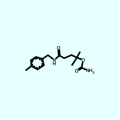 Cc1ccc(CNC(=O)CCC(C)(C)OC(N)=O)cc1